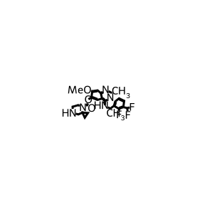 COc1cc2nc(C)nc(NC(C)c3cccc(C(F)F)c3F)c2cc1OC(=O)N1CCNCC12CC2